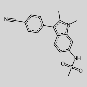 Cc1c(-c2ccc(C#N)cc2)c2ccc(NS(C)(=O)=O)cc2n1C